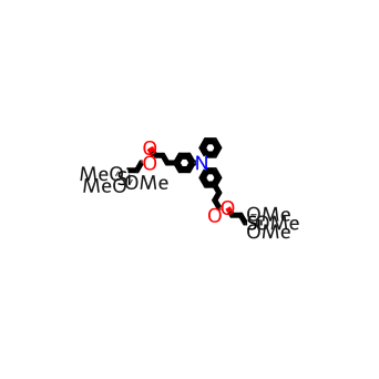 CO[Si](CCCOC(=O)CCc1ccc(N(c2ccccc2)c2ccc(CCC(=O)OCCC[Si](OC)(OC)OC)cc2)cc1)(OC)OC